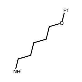 CCOCCCCC[NH]